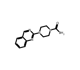 BC(=O)N1CCN(c2ncc3ccccc3n2)CC1